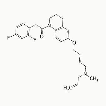 C=CCN(C)CC=CCOc1ccc2c(c1)CCCN2C(=O)Cc1ccc(F)cc1F